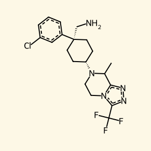 CC1c2nnc(C(F)(F)F)n2CCN1[C@H]1CC[C@](CN)(c2cccc(Cl)c2)CC1